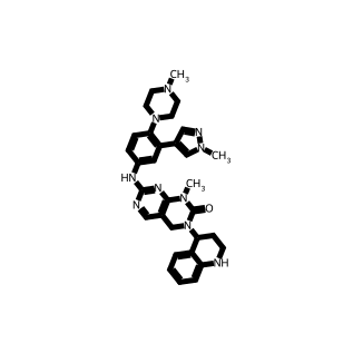 CN1CCN(c2ccc(Nc3ncc4c(n3)N(C)C(=O)N(C3CCNc5ccccc53)C4)cc2-c2cnn(C)c2)CC1